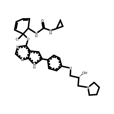 O=C(NC1CC1)NC1C=CC=CC1(Cl)Oc1ncnc2[nH]c(-c3ccc(OC[C@H](O)CN4CCCC4)cc3)cc12